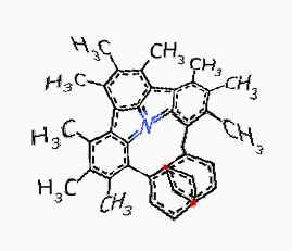 Cc1c(C)c(-c2ccccc2)c2c(c1C)c1c(C)c(C)c(C)c3c4c(C)c(C)c(C)c(-c5ccccc5)c4n2c13